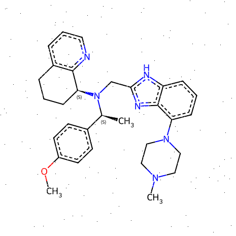 COc1ccc([C@H](C)N(Cc2nc3c(N4CCN(C)CC4)cccc3[nH]2)[C@H]2CCCc3cccnc32)cc1